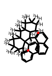 [2H]C1([2H])C([2H])([2H])C([2H])([2H])C2([2H])C([2H])(c3cccc4ccccc34)C3(c4cccc5ccccc45)C([2H])([2H])C([2H])([2H])C([2H])([2H])C([2H])([2H])C3([2H])C([2H])([2H])C2([2H])C1([2H])[2H]